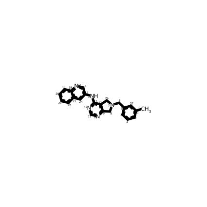 Cc1cccc(CN2Cc3ncnc(Nc4cnc5ccccc5c4)c3C2)c1